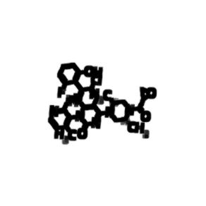 Cc1ccnc(C(C)C)c1-n1c(=O)nc(N2C[C@@H](C)N(C(=O)C3CO3)C[C@@H]2C)c2cc(Cl)c(-c3c(O)cccc3F)nc21